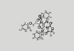 Cc1ccc(OCCCN2C(C(C(=O)Nc3ccccc3C)N3C(=O)OC(C)(C)C3=O)=Nc3ccccc3S2(=O)=O)c(C)c1